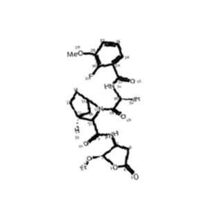 CCO[C@@H]1OC(=O)CC1NC(=O)C1[C@H]2CCC(C2)N1C(=O)[C@@H](NC(=O)c1cccc(OC)c1F)C(C)C